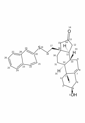 C[C@]12CC[C@H](O)CC1=CC[C@H]1[C@@H]3CC(=O)C[C@@]3(CCSc3ccc4ccccc4c3)CC[C@@H]12